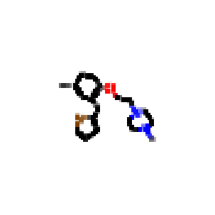 Cc1ccc(OCCN2CCN(C)CC2)c(Cc2cccs2)c1